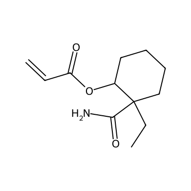 C=CC(=O)OC1CCCCC1(CC)C(N)=O